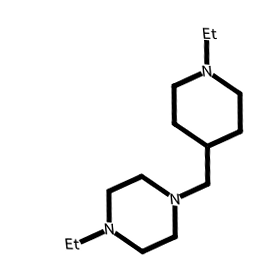 CCN1CCC(CN2CCN(CC)CC2)CC1